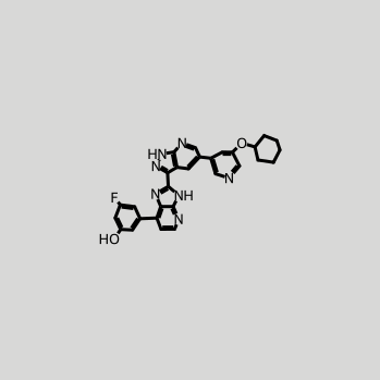 Oc1cc(F)cc(-c2ccnc3[nH]c(-c4n[nH]c5ncc(-c6cncc(OC7CCCCC7)c6)cc45)nc23)c1